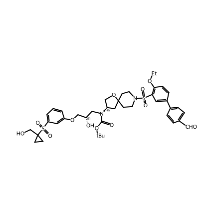 CCOc1ccc(-c2ccc(C=O)cc2)cc1S(=O)(=O)N1CCC2(CC1)C[C@@H](N(C[C@H](O)COc1cccc(S(=O)(=O)C3(CO)CC3)c1)C(=O)OC(C)(C)C)CO2